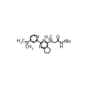 CN(C)c1ccnc(-c2nc3c(c(N(C)CC(=O)NC(C)(C)C)n2)CCC3)c1